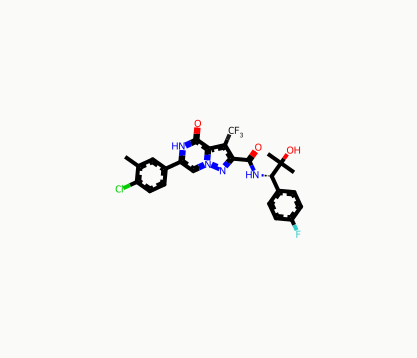 Cc1cc(-c2cn3nc(C(=O)N[C@@H](c4ccc(F)cc4)C(C)(C)O)c(C(F)(F)F)c3c(=O)[nH]2)ccc1Cl